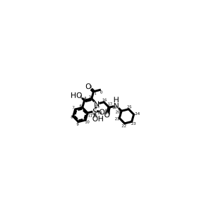 CC(=O)C1=C(O)c2ccccc2S(O)(O)N1CC(=O)NC1CCCCC1